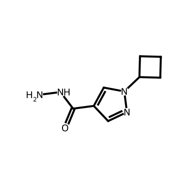 NNC(=O)c1cnn(C2CCC2)c1